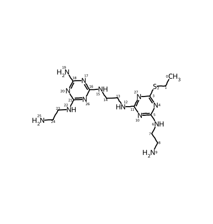 CCSc1nc(NCCN)nc(NCCNc2nc(N)nc(NCCN)n2)n1